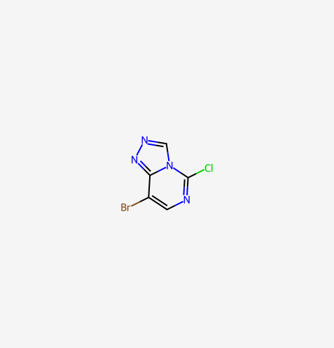 Clc1ncc(Br)c2nncn12